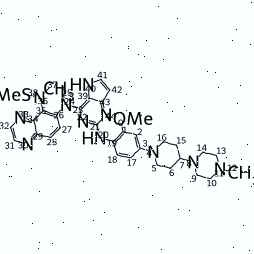 COc1cc(N2CCC(N3CCN(C)CC3)CC2)ccc1Nc1nc(N(I)c2ccc3nccnc3c2N(C)SC)c2[nH]ccc2n1